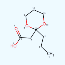 CCCC1(CC(=O)O)OCCCO1